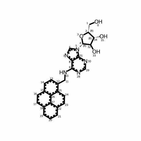 OC[C@H]1O[C@@H](n2cnc3c(NCc4ccc5ccc6cccc7ccc4c5c67)ncnc32)C(O)[C@H]1O